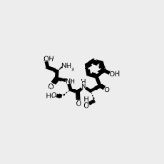 N[C@@H](CO)C(=O)N[C@@H](CO)C(=O)N[C@@H](CO)C(=O)c1ccccc1O